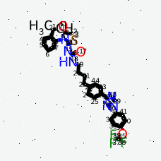 CC(C)c1ccccc1N1C(=O)CSC1=NC(=O)NCCCCc1ccc(-c2ncn(-c3ccc(OC(F)(F)F)cc3)n2)cc1